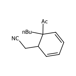 CCCCC1(C(C)=O)C=CC=CC1CC#N